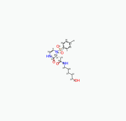 Cc1ccc(S(=O)(=O)N2C=CNC(=O)[C@H]2CC(=O)NCCCCCO)cc1